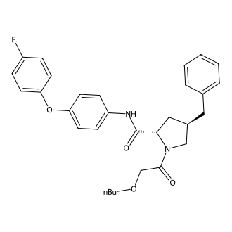 CCCCOCC(=O)N1C[C@H](Cc2ccccc2)C[C@H]1C(=O)Nc1ccc(Oc2ccc(F)cc2)cc1